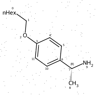 CCCCCCCOc1ccc([C@@H](C)N)cc1